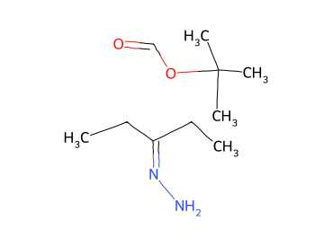 CC(C)(C)OC=O.CCC(CC)=NN